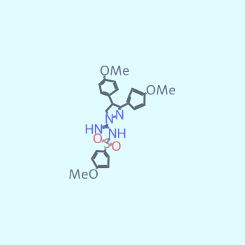 COc1ccc(C2=NN(C(=N)NS(=O)(=O)c3ccc(OC)cc3)CC2c2ccc(OC)cc2)cc1